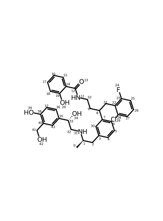 C[C@H](Cc1cccc(C(CCNC(=O)c2ccccc2O)Cc2c(F)cccc2Cl)c1)NC[C@@H](O)c1ccc(O)c(CO)c1